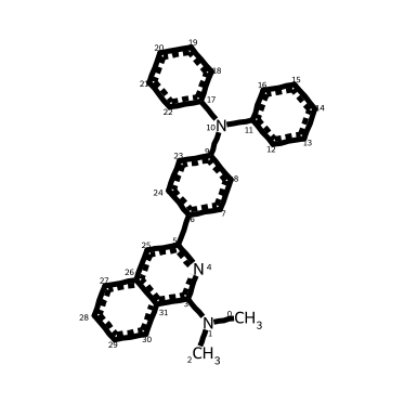 CN(C)c1nc(-c2ccc(N(c3ccccc3)c3ccccc3)cc2)cc2ccccc12